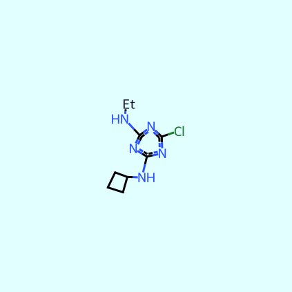 CCNc1nc(Cl)nc(NC2CCC2)n1